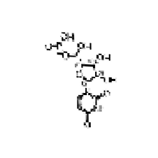 O=c1ccn([C@@H]2O[C@H](C(O)O[PH](=O)O)[C@@H](O)[C@H]2O)c(=O)[nH]1